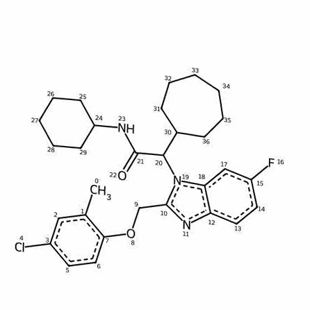 Cc1cc(Cl)ccc1OCc1nc2ccc(F)cc2n1C(C(=O)NC1CCCCC1)C1CCCCCC1